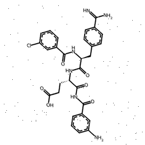 N=C(N)c1ccc(C[C@H](NC(=O)c2cccc(Cl)c2)C(=O)N[C@@H](CCC(=O)O)C(=O)NC(=O)c2cccc(N)c2)cc1